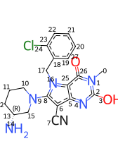 Cn1c(O)nc2c(C#N)c(N3CCC[C@@H](N)C3)n(Cc3ccccc3Cl)c2c1=O